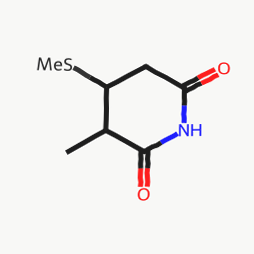 CSC1CC(=O)NC(=O)C1C